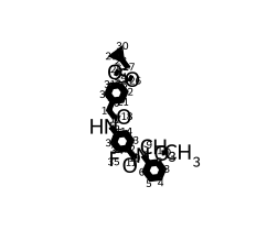 COc1ccccc1N(C)C(=O)c1ccc(NC(=O)Cc2ccc(S(=O)(=O)CC3CC3)cc2)cc1F